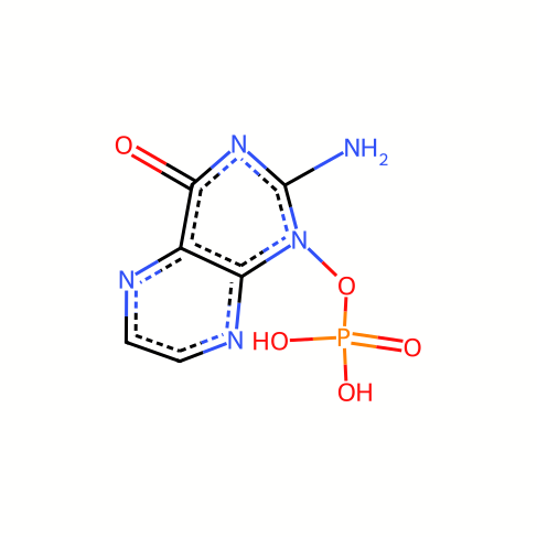 Nc1nc(=O)c2nccnc2n1OP(=O)(O)O